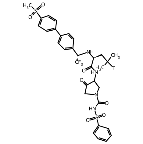 CC(C)(F)C[C@H](N[C@@H](c1ccc(-c2ccc(S(C)(=O)=O)cc2)cc1)C(F)(F)F)C(=O)NC1CN(C(=O)NS(=O)(=O)c2ccccc2)CC1=O